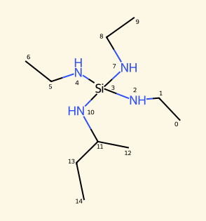 CCN[Si](NCC)(NCC)NC(C)CC